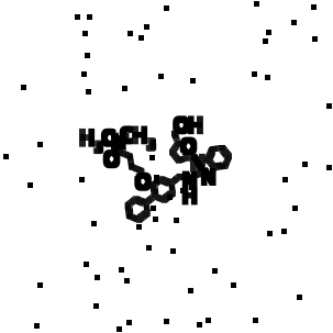 CN(C)C(=O)CCCOc1cc(CNc2nc3ccccc3n2[C@H]2CC[C@@H](CO)O2)ccc1-c1ccccc1